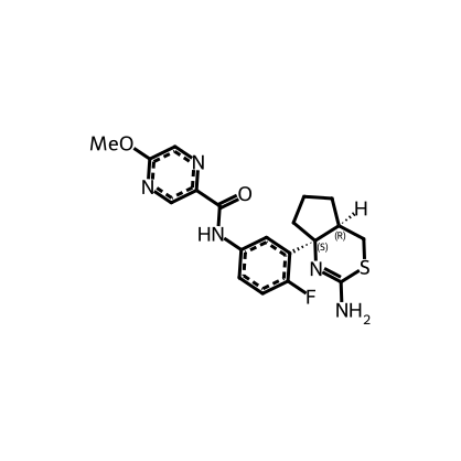 COc1cnc(C(=O)Nc2ccc(F)c([C@]34CCC[C@H]3CSC(N)=N4)c2)cn1